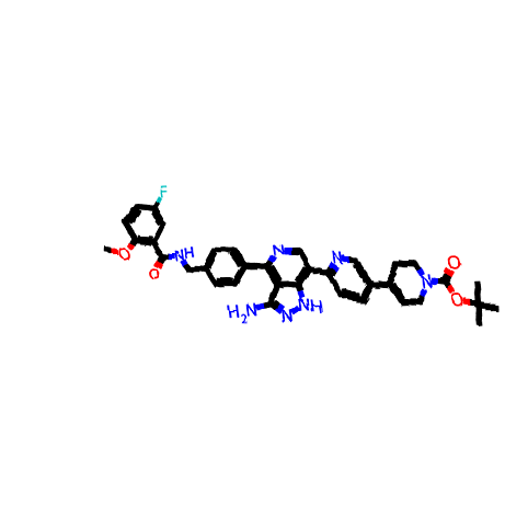 COc1ccc(F)cc1C(=O)NCc1ccc(-c2ncc(-c3ccc(C4=CCN(C(=O)OC(C)(C)C)CC4)cn3)c3[nH]nc(N)c23)cc1